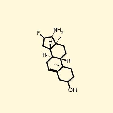 C[C@]12CC[C@H]3[C@@H](CC=C4CC(O)CC[C@@]43C)[C@@H]1C[C@@H](F)[C@@H]2N